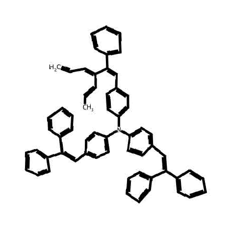 C=C/C=C(\C=C\C)C(=C\c1ccc(N(c2ccc(C=C(c3ccccc3)c3ccccc3)cc2)c2ccc(C=C(c3ccccc3)c3ccccc3)cc2)cc1)/c1ccccc1